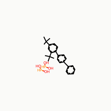 CC(C)(C)c1ccc(-c2ccc(-c3ccccc3)cc2)c(C(C)(C)C)c1.OPO.OPO